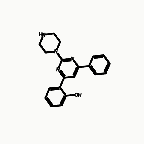 Oc1ccccc1-c1cc(-c2ccccc2)nc(N2CCNCC2)n1